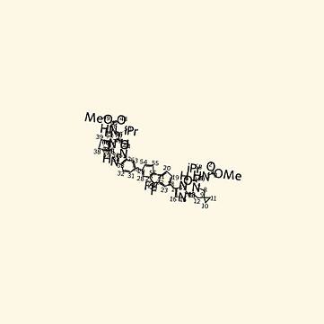 COC(=O)N[C@H](C(=O)N1CC2(CC2)C[C@H]1c1ncc(-c2ccc3c(c2)C(F)(F)c2cc(-c4ccc5nc([C@@H]6[C@H]7CC[C@H](C7)N6C(=O)[C@H](NC(=O)OC)C(C)C)[nH]c5c4)ccc2-3)[nH]1)C(C)C